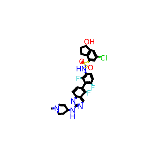 CN1CCC(Nc2ncc3c(F)c(-c4c(F)ccc(NS(=O)(=O)c5cc(Cl)cc6c5CC[C@H]6O)c4F)ccc3n2)CC1